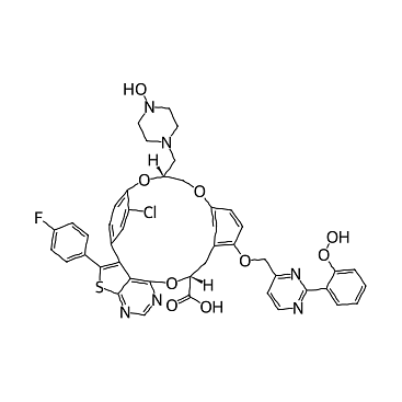 O=C(O)[C@H]1Cc2cc(ccc2OCc2ccnc(-c3ccccc3OO)n2)OC[C@@H](CN2CCN(O)CC2)Oc2ccc(cc2Cl)-c2c(-c3ccc(F)cc3)sc3ncnc(c23)O1